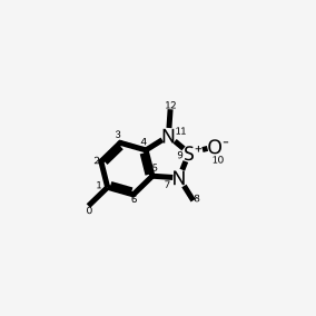 Cc1ccc2c(c1)N(C)[S+]([O-])N2C